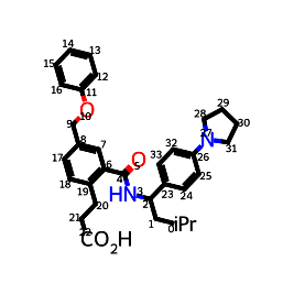 CC(C)CC(NC(=O)c1cc(COc2ccccc2)ccc1CCC(=O)O)c1ccc(N2CCCC2)cc1